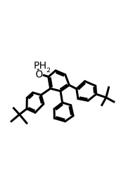 CC(C)(C)c1ccc(-c2ccc(OP)c(-c3ccc(C(C)(C)C)cc3)c2-c2ccccc2)cc1